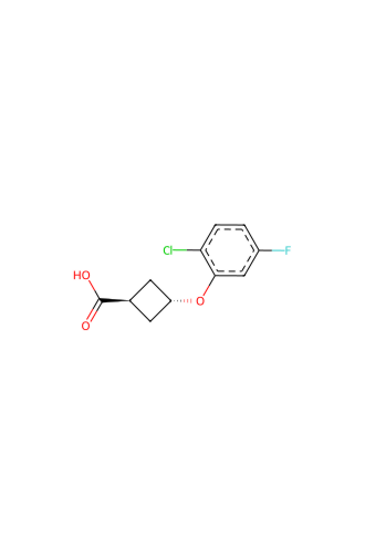 O=C(O)[C@H]1C[C@H](Oc2cc(F)ccc2Cl)C1